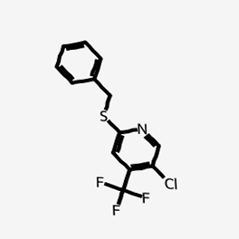 FC(F)(F)c1cc(SCc2ccccc2)ncc1Cl